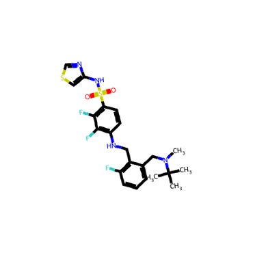 CN(Cc1cccc(F)c1CNc1ccc(S(=O)(=O)Nc2cscn2)c(F)c1F)C(C)(C)C